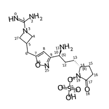 N=C(N)N1CC(Cc2cc([C@@H](N)CC[C@@H]3CCC(=O)N3OS(=O)(=O)O)no2)C1